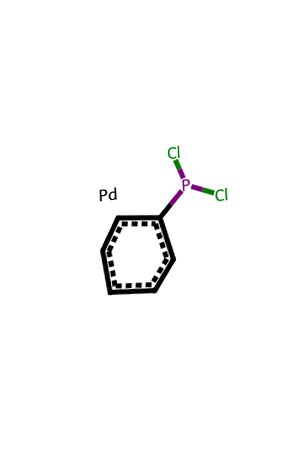 ClP(Cl)c1ccccc1.[Pd]